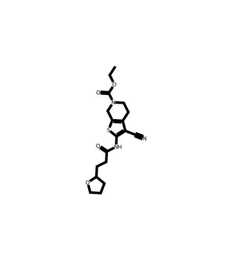 CCOC(=O)N1CCc2c(sc(NC(=O)CCC3CCCO3)c2C#N)C1